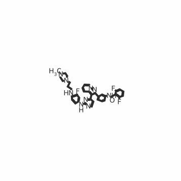 CN1CCN(CCCNc2ccc(Nc3nccc(-c4c(-c5cccc(NC(=O)c6c(F)cccc6F)c5)nn5ccccc45)n3)cc2F)CC1